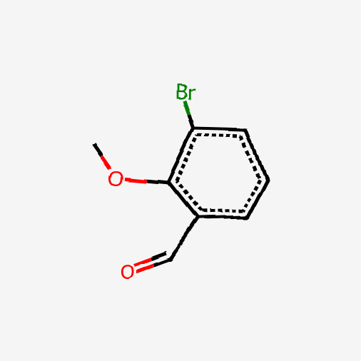 COc1c(Br)cccc1C=O